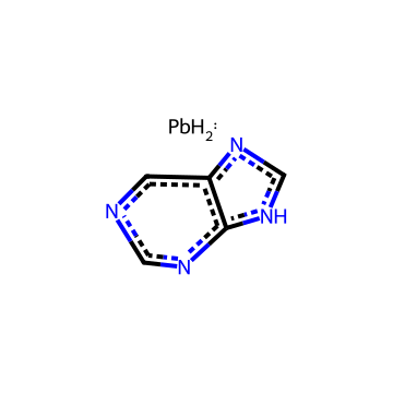 [PbH2].c1ncc2nc[nH]c2n1